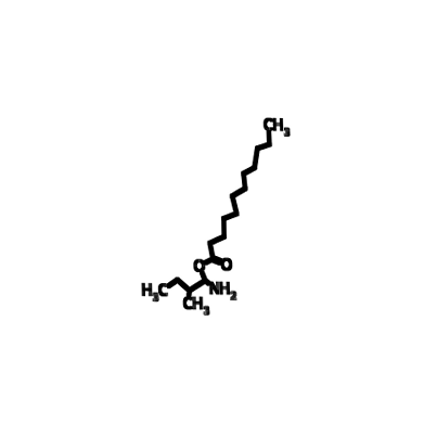 CCCCCCCCCCCC(=O)OC(N)C(C)CC